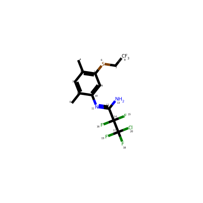 Cc1cc(C)c(SCC(F)(F)F)cc1/N=C(\N)C(F)(F)C(F)(F)Cl